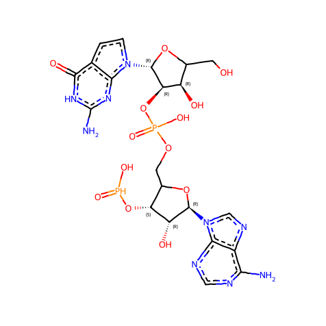 Nc1nc2c(ccn2[C@@H]2OC(CO)[C@@H](O)[C@H]2OP(=O)(O)OCC2O[C@@H](n3cnc4c(N)ncnc43)[C@H](O)[C@@H]2O[PH](=O)O)c(=O)[nH]1